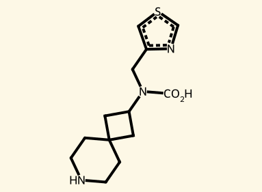 O=C(O)N(Cc1cscn1)C1CC2(CCNCC2)C1